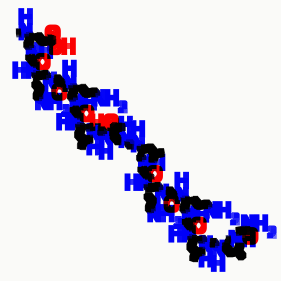 CN[C@@H](CCC(=O)O)CNCC(=O)N[C@@H](CCCN)CNCC(=O)N[C@@H](CCCN)CNCC(=O)N[C@H](CNCNC(CNCN[C@H](CNCC(=O)N[C@@H](CCCN)CNCC(=O)N[C@@H](CCCN)CNCC(=O)N[C@H](CNCN[C@H](CNCC(N)=O)CC(C)C)CC(C)C)CC(C)C)C(C)O)CC(C)C